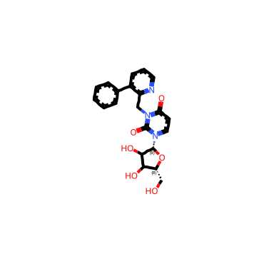 O=c1ccn([C@@H]2O[C@H](CO)C(O)C2O)c(=O)n1Cc1ncccc1-c1ccccc1